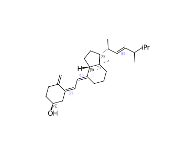 C=C1CC[C@H](O)C/C1=C/C=C1\CCC[C@]2(C)[C@@H](C(C)/C=C/C(C)C(C)C)CC[C@@H]12